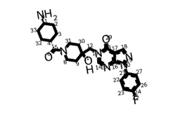 N[C@H]1CC[C@H](C(=O)N2CCC(O)(Cn3cnc4c(cnn4-c4ccc(F)cc4)c3=O)CC2)CC1